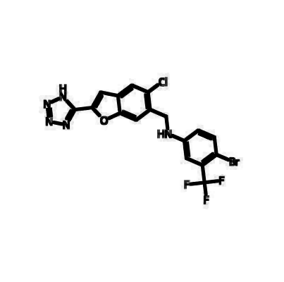 FC(F)(F)c1cc(NCc2cc3oc(-c4nnn[nH]4)cc3cc2Cl)ccc1Br